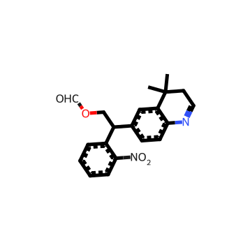 CC1(C)CC=Nc2ccc(C(COC=O)c3ccccc3[N+](=O)[O-])cc21